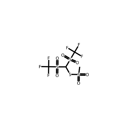 CS(=O)(=O)SC(S(=O)(=O)C(F)(F)F)S(=O)(=O)C(F)(F)F